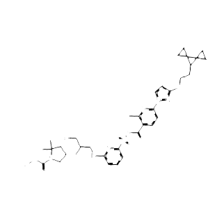 CC(C)(C)CC(CNc1cccc(S(=O)(=O)NC(=O)c2ccc(-n3ccc(OCCC4C5(CC5)C45CC5)n3)nc2Cl)n1)C[C@@H]1CN(C(=O)OC(C)(C)C)C(C)(C)C1